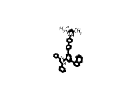 Cc1cc(C)nc(-c2ccc(-c3ccc(-c4cc(-c5nc(-c6ccccc6)cc(-c6ccccc6)n5)cc(-c5cccc6ccccc56)c4)cc3)cc2)n1